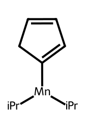 C[CH](C)[Mn]([C]1=CC=CC1)[CH](C)C